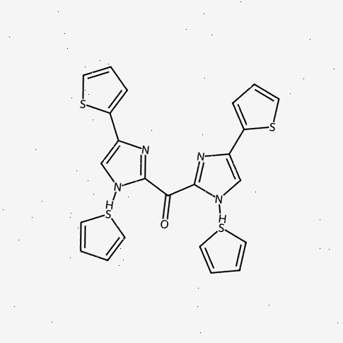 O=C(c1nc(-c2cccs2)cn1[SH]1C=CC=C1)c1nc(-c2cccs2)cn1[SH]1C=CC=C1